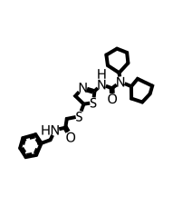 O=C(CSC1CN=C(NC(=O)N(C2CCCCC2)C2CCCCC2)S1)NCc1ccccc1